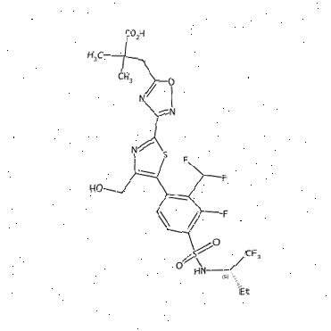 CC[C@H](NS(=O)(=O)c1ccc(-c2sc(-c3noc(CC(C)(C)C(=O)O)n3)nc2CO)c(C(F)F)c1F)C(F)(F)F